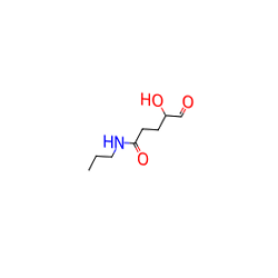 CCCNC(=O)CCC(O)C=O